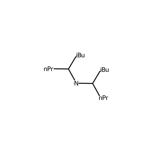 CCCC([N]C(CCC)C(C)CC)C(C)CC